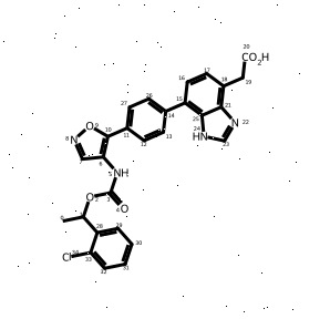 CC(OC(=O)Nc1cnoc1-c1ccc(-c2ccc(CC(=O)O)c3nc[nH]c23)cc1)c1ccccc1Cl